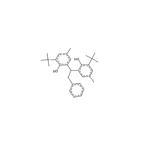 Cc1cc(C(Cc2ccccc2)c2cc(C)cc(C(C)(C)C)c2O)c(O)c(C(C)(C)C)c1